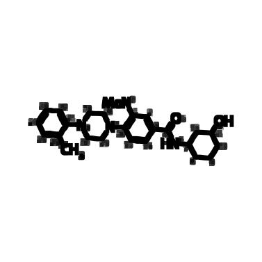 CNc1cc(C(=O)NC2CCCC(O)C2)ccc1N1CCN(c2ccccc2C)CC1